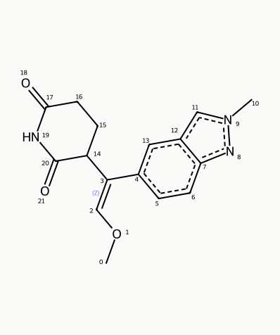 CO/C=C(\c1ccc2nn(C)cc2c1)C1CCC(=O)NC1=O